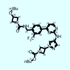 CCCCOC(=O)N1CC(n2cc(Nc3nccc(-c4ccc(CNC(=O)N5CC(OC(C)(C)C)C5)c(C(F)(F)F)c4)n3)cn2)C1